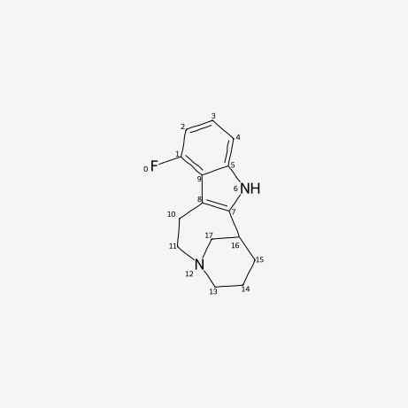 Fc1cccc2[nH]c3c(c12)CCN1CCCC3C1